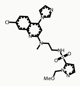 COCn1nccc1S(=O)(=O)NCCN(C)c1cc(-n2ccnc2)c2ccc(Cl)cc2n1